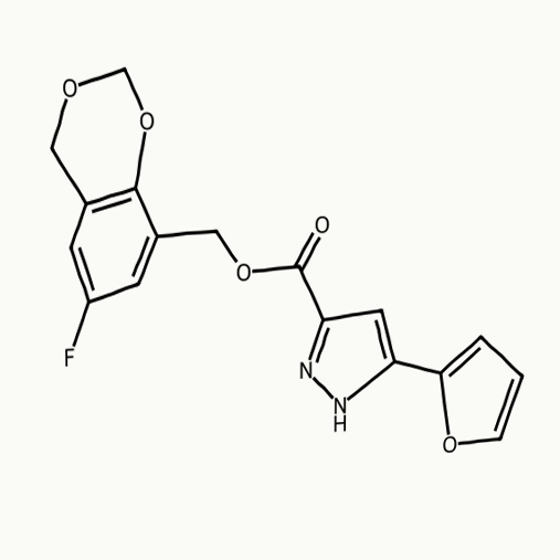 O=C(OCc1cc(F)cc2c1OCOC2)c1cc(-c2ccco2)[nH]n1